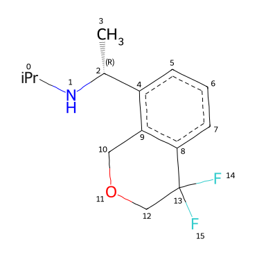 CC(C)N[C@H](C)c1cccc2c1COCC2(F)F